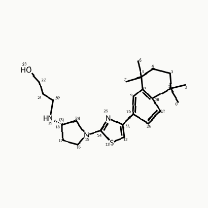 CC1(C)CCC(C)(C)c2cc(-c3csc(N4CC[C@H](NCCCO)C4)n3)ccc21